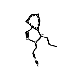 CCC[C@@H]1c2ccccc2C=NN1CC=C=O